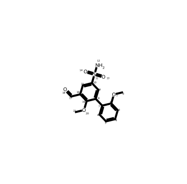 COc1ccccc1-c1cc(S(N)(=O)=O)cc(C=O)c1OC